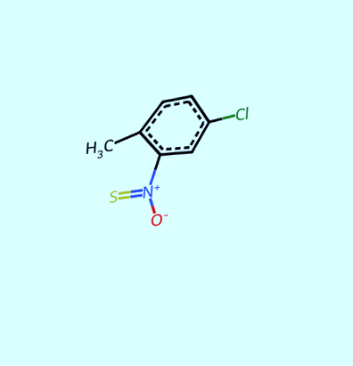 Cc1ccc(Cl)cc1[N+]([O-])=S